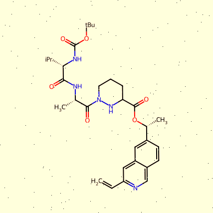 C=Cc1cc2cc([C@@H](C)OC(=O)C3CCCN(C(=O)[C@H](C)NC(=O)[C@@H](NC(=O)OC(C)(C)C)C(C)C)N3)ccc2cn1